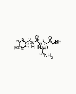 N=CC(=O)CC[C@H](NC(=O)CN)C(=O)NCc1ccc(F)cc1